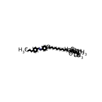 CCCCc1ccc(/C=C/c2ccc(OCCCCCCCCCCCOC(=O)C(C)(Br)CC(C)(C)C(C)=O)cc2)cc1